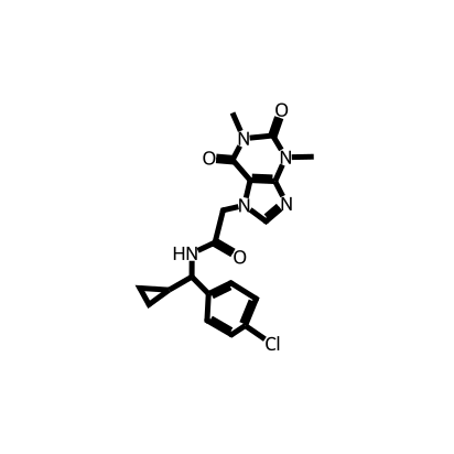 Cn1c(=O)c2c(ncn2CC(=O)NC(c2ccc(Cl)cc2)C2CC2)n(C)c1=O